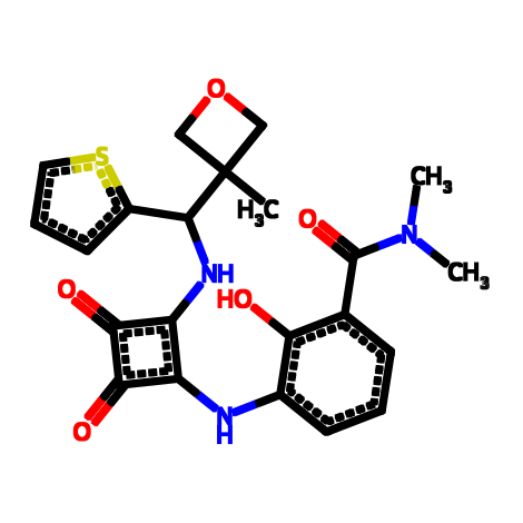 CN(C)C(=O)c1cccc(Nc2c(NC(c3cccs3)C3(C)COC3)c(=O)c2=O)c1O